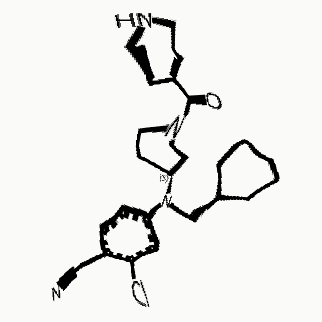 N#Cc1ccc(N(CC2CCCCC2)[C@H]2CCN(C(=O)C3=CCNC=C3)C2)cc1Cl